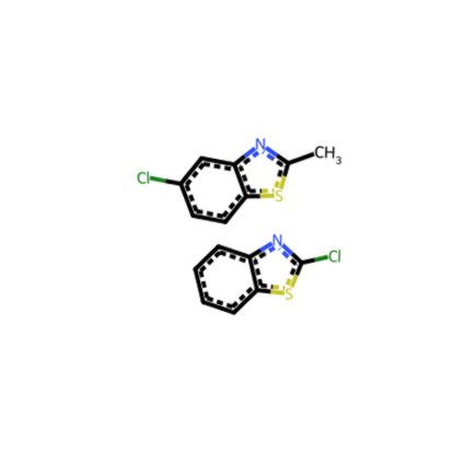 Cc1nc2cc(Cl)ccc2s1.Clc1nc2ccccc2s1